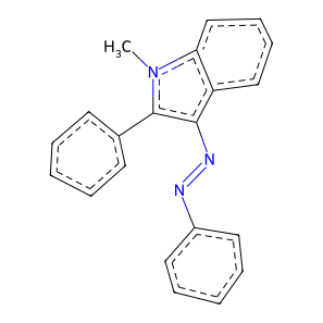 Cn1c(-c2ccccc2)c(N=Nc2ccccc2)c2ccccc21